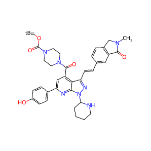 CN1Cc2ccc(/C=C/c3nn(C4CCCCN4)c4nc(-c5ccc(O)cc5)cc(C(=O)N5CCN(C(=O)OC(C)(C)C)CC5)c34)cc2C1=O